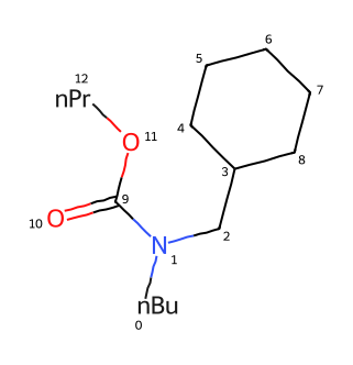 CCCCN(CC1CCCCC1)C(=O)OCCC